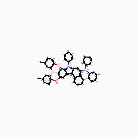 Cc1ccc2c(c1)B1c3cc(C)ccc3Oc3c1c(cc1c4c5ccccc5c(N(c5ccccc5)c5ccccc5)cc4n(-c4ccccc4)c31)O2